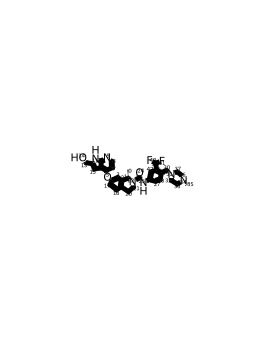 C[C@H]1c2cc(Oc3ccnc4[nH]c(CO)cc34)ccc2CCN1C(=O)Nc1ccc(CN2CCN(C)CC2)c(C(F)F)c1